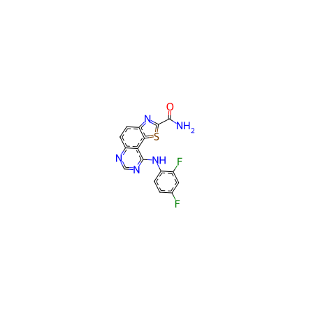 NC(=O)c1nc2ccc3ncnc(Nc4ccc(F)cc4F)c3c2s1